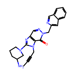 CC#CCn1c(N2CCCC(N)C2)nc2cnn(Cc3cc4ccccc4cn3)c(=O)c21